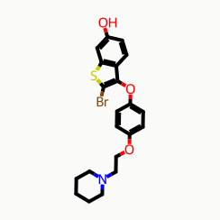 Oc1ccc2c(Oc3ccc(OCCN4CCCCC4)cc3)c(Br)sc2c1